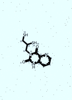 O=c1[nH]c2cccnc2c(=O)n1CC(S)CS